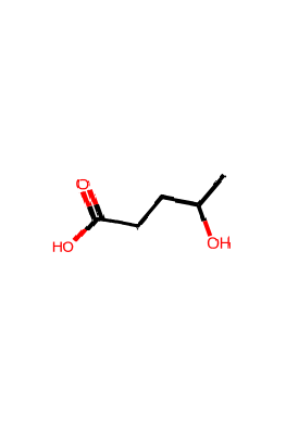 CC(O)C[CH]C(=O)O